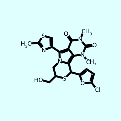 Cc1nc(-c2c3c(=O)n(C)c(=O)n(C)c3c3n2CC(CO)SC3c2ccc(Cl)o2)cs1